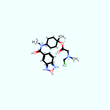 CN(CCl)CC(=O)OC1(C)CCC(N(C)C(=O)c2ccc3nonc3c2)CC1